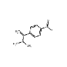 C=C(c1ccc([N+](=O)[O-])cc1)N(C)C